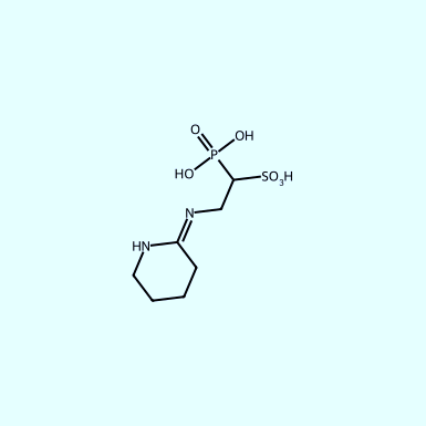 O=P(O)(O)C(C/N=C1\CCCCN1)S(=O)(=O)O